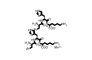 CC(C)C[C@H](N)C(=O)N[C@@H](Cc1c[nH]cn1)C(=O)N[C@@H](CCCCN)C(=O)[O-].CC(C)C[C@H](N)C(=O)N[C@@H](Cc1c[nH]cn1)C(=O)N[C@@H](CCCCN)C(=O)[O-].[Mn+2]